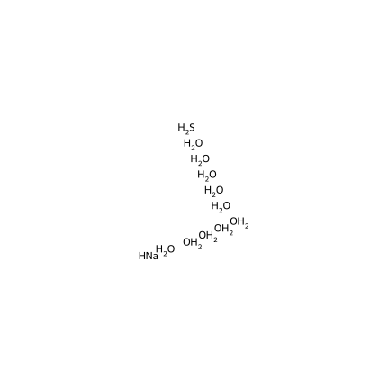 O.O.O.O.O.O.O.O.O.O.S.[NaH]